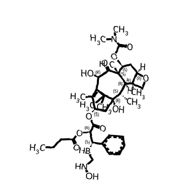 CCCC(=O)O[C@@H](C(=O)O[C@H]1C[C@@]2(O)[C@@H](C)[C@@H]3[C@]4(C)CO[C@@H]4C[C@H](OC(=O)N(C)C)[C@@]3(C)C(=O)[C@H](O)C(=C1C)C2(C)C)[C@@H](BCNO)c1ccccc1